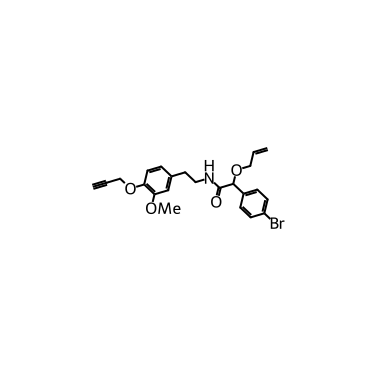 C#CCOc1ccc(CCNC(=O)C(OCC=C)c2ccc(Br)cc2)cc1OC